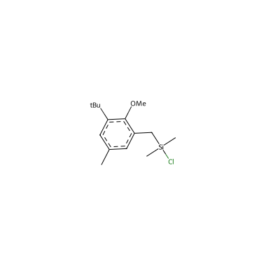 COc1c(C[Si](C)(C)Cl)cc(C)cc1C(C)(C)C